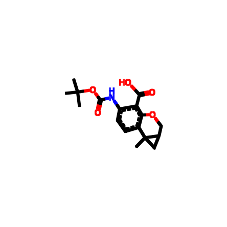 CC(C)(C)OC(=O)Nc1ccc2c(c1C(=O)O)OCC1CC21C